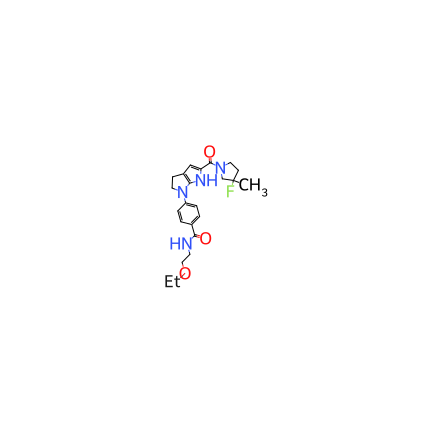 CCOCCNC(=O)c1ccc(N2CCc3cc(C(=O)N4CCC(C)(F)C4)[nH]c32)cc1